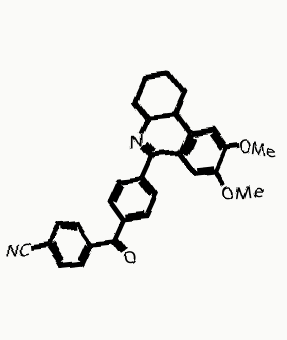 COc1cc2c(cc1OC)C1CCCCC1N=C2c1ccc(C(=O)c2ccc(C#N)cc2)cc1